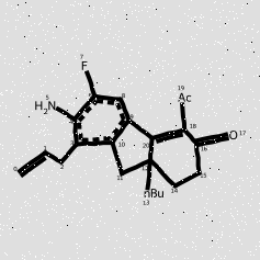 C=CCc1c(N)c(F)cc2c1CC1(CCCC)CCC(=O)C(C(C)=O)=C21